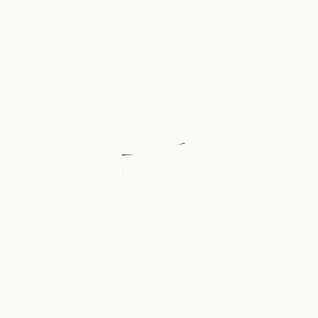 CCS(=O)(=O)C[C@H]1CC[C@@H](C(F)(F)F)CC1